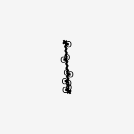 CC(C)(C)C(=O)CCCCCOC(=O)CCCCCOC(=O)CCC(=O)OCOC(=O)C(C)(C)C